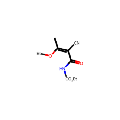 CCOC(=O)NC(=O)C(C#N)=C(C)OCC